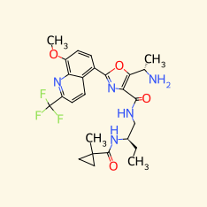 CC[C@H](CNC(=O)c1nc(-c2ccc(OC)c3nc(C(F)(F)F)ccc23)oc1[C@H](C)N)NC(=O)C1(C)CC1